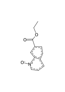 CCOC(=O)c1ccc2ccc[n+]([O-])c2c1